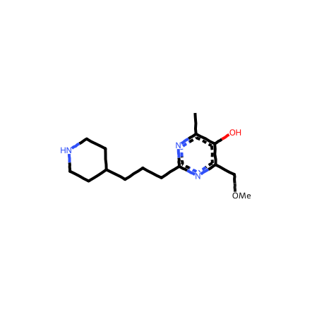 COCc1nc(CCCC2CCNCC2)nc(C)c1O